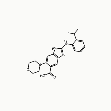 CC(C)c1ccccc1Nc1nc2cc(C(=O)O)c(N3CCOCC3)cc2[nH]1